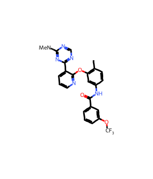 CNc1ncnc(-c2cccnc2Oc2cc(NC(=O)c3cccc(OC(F)(F)F)c3)ccc2C)n1